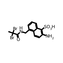 CC(Br)(Br)C(=O)NCc1cccc2c(S(=O)(=O)O)c(N)ccc12